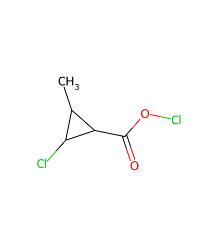 CC1C(Cl)C1C(=O)OCl